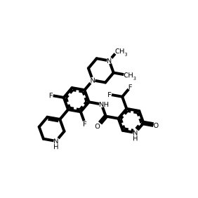 CC1CN(c2cc(F)c(C3=CCCNC3)c(F)c2NC(=O)c2c[nH]c(=O)cc2C(F)F)CCN1C